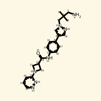 CC(C)(CN)Cn1cc(-c2ccc(NC(=O)C3CN(c4cccnn4)C3)cc2)cn1